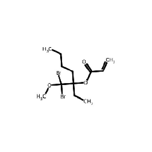 C=CC(=O)OC(CC)(CCCC)C(Br)(Br)OC